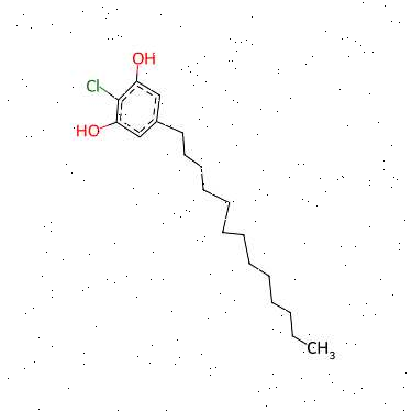 CCCCCCCCCCCCCc1cc(O)c(Cl)c(O)c1